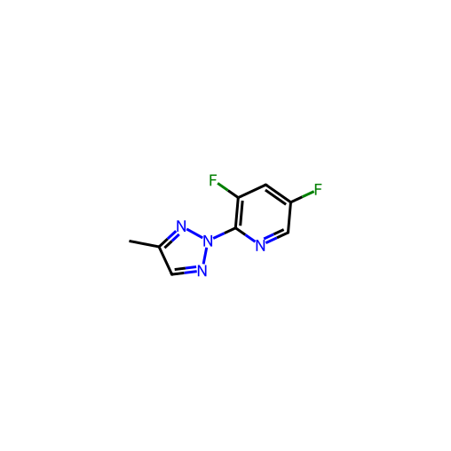 Cc1cnn(-c2ncc(F)cc2F)n1